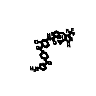 N[C@@H]1CCN(C(=O)N2CCN(C(=O)c3ccc(NC(=O)c4ncc(Cc5c(C(F)(F)F)n[nH]c5C5CC5)[nH]4)cc3Cl)CC2)C1